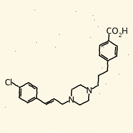 O=C(O)c1ccc(CCCN2CCN(CC=Cc3ccc(Cl)cc3)CC2)cc1